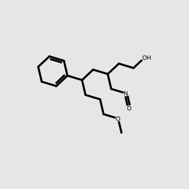 COCCCC(CC(CCO)CN=O)C1=CCCC=C1